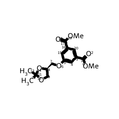 COC(=O)c1cc(OC[C@H]2COC(C)(C)O2)cc(C(=O)OC)c1